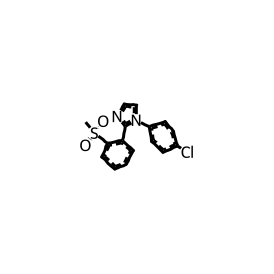 CS(=O)(=O)c1ccccc1-c1nccn1-c1ccc(Cl)cc1